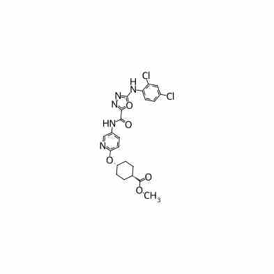 COC(=O)[C@H]1CC[C@H](Oc2ccc(NC(=O)c3nnc(Nc4ccc(Cl)cc4Cl)o3)cn2)CC1